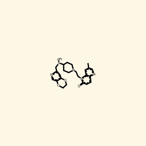 CCCN(Cc1cc2c(cn1)OCCO2)C1CCN(CCn2c(=O)ccc3ncc(C)cc32)CC1